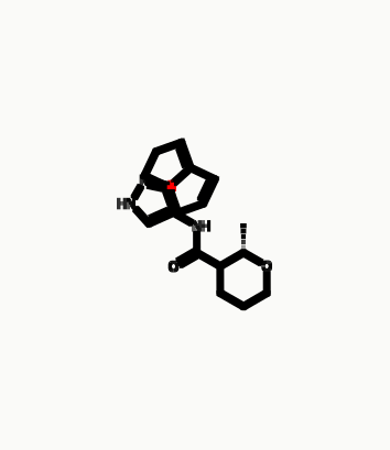 C[C@@H]1OCCCC1C(=O)Nc1c[nH]nc1C1=C\CC/C=C/C=C\1